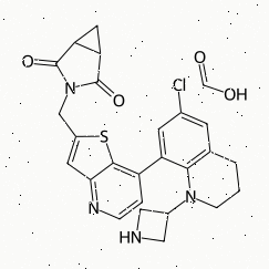 O=C1C2CC2C(=O)N1Cc1cc2nccc(-c3cc(Cl)cc4c3N(C3CNC3)CCC4)c2s1.O=CO